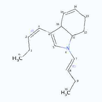 CC/C=C\C1=CN(/C=C/CC)C2CCC=CC12